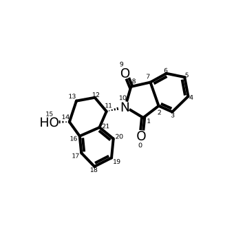 O=C1c2ccccc2C(=O)N1[C@H]1CC[C@@H](O)c2ccccc21